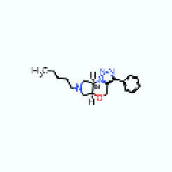 CCCCCN1C[C@@H]2OCc3c(-c4ccccc4)nnn3[C@H]2C1